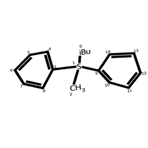 CCC(C)S(C)(c1ccccc1)c1ccccc1